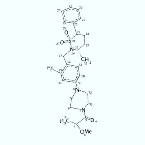 COC(C)C(=O)N1CCN(c2ccc(CN3[C@@H](C)CCC(c4ccccc4)S3(=O)=O)c(F)c2)CC1